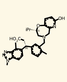 Cc1ccc([C@@H](CC(=O)O)c2ccc3c(nnn3C)c2C)cc1CN1Cc2nc(O)ccc2O[C@@H](C(C)C)C1